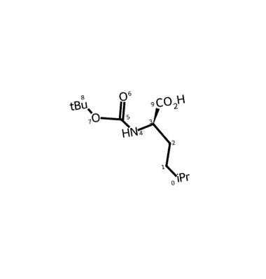 CC(C)CC[C@@H](NC(=O)OC(C)(C)C)C(=O)O